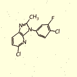 Cc1nc2ccc(Cl)nc2n1-c1ccc(Cl)c(F)c1